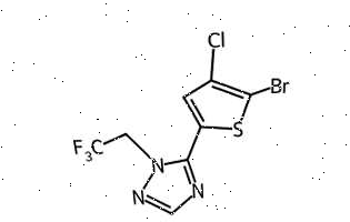 FC(F)(F)Cn1ncnc1-c1cc(Cl)c(Br)s1